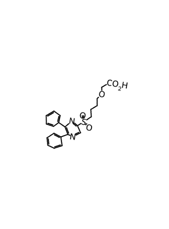 O=C(O)COCCCCS(=O)(=O)c1cnc(-c2ccccc2)c(-c2ccccc2)n1